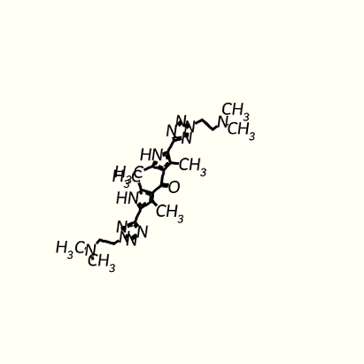 Cc1[nH]c(-c2nnn(CCN(C)C)n2)c(C)c1C(=O)c1c(C)[nH]c(-c2nnn(CCN(C)C)n2)c1C